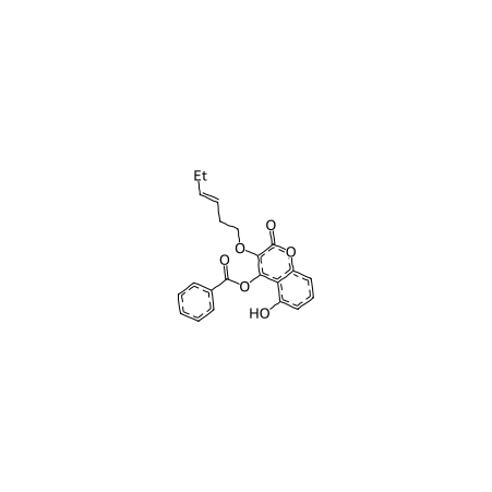 CCC=CCCOc1c(OC(=O)c2ccccc2)c2c(O)cccc2oc1=O